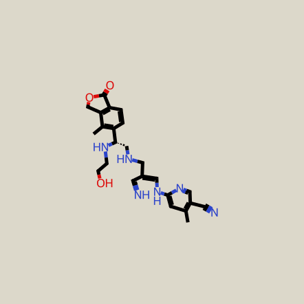 Cc1cc(N/C=C(\C=N)CNC[C@H](NCCO)c2ccc3c(c2C)COC3=O)ncc1C#N